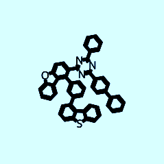 c1ccc(-c2ccc(-c3nc(-c4ccccc4)nc(-c4ccc5oc6ccccc6c5c4-c4cccc(-c5cccc6sc7ccccc7c56)c4)n3)cc2)cc1